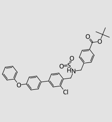 CC(C)(C)OC(=O)c1ccc(CN(Cc2ccc(-c3ccc(Oc4ccccc4)cc3)cc2Cl)[SH](=O)=O)cc1